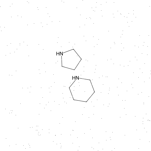 C1CCNC1.C1CCNCC1